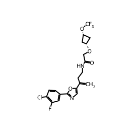 C=C(CCNC(=O)CO[C@H]1C[C@@H](OC(F)(F)F)C1)c1cnc(-c2ccc(Cl)c(F)c2)o1